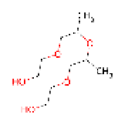 CC(COCCO)OC(C)COCCO